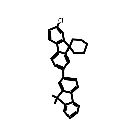 CC1(C)c2ccccc2-c2ccc(-c3ccc4c(c3)C3(CCCCC3)c3cc(Cl)ccc3-4)cc21